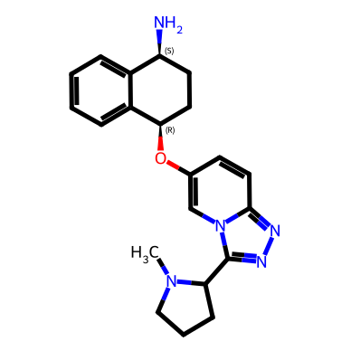 CN1CCCC1c1nnc2ccc(O[C@@H]3CC[C@H](N)c4ccccc43)cn12